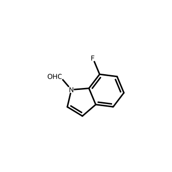 O=Cn1ccc2cccc(F)c21